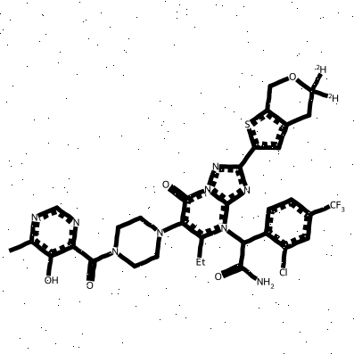 [2H]C1([2H])Cc2cc(-c3nc4n(C(C(N)=O)c5ccc(C(F)(F)F)cc5Cl)c(CC)c(N5CCN(C(=O)c6ncnc(C)c6O)CC5)c(=O)n4n3)sc2CO1